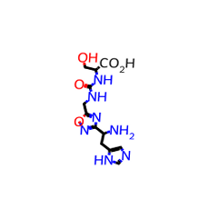 NC(Cc1cnc[nH]1)c1noc(CNC(=O)NC(CO)C(=O)O)n1